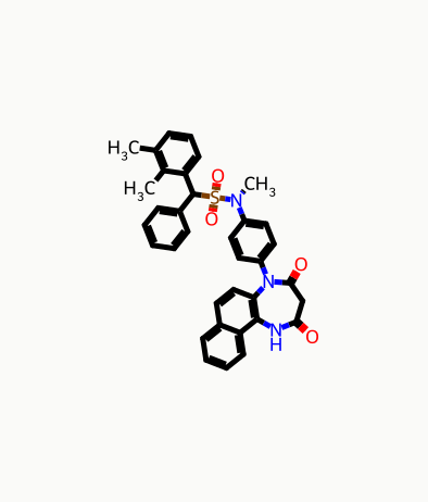 Cc1cccc(C(c2ccccc2)S(=O)(=O)N(C)c2ccc(N3C(=O)CC(=O)Nc4c3ccc3ccccc43)cc2)c1C